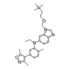 CCN(c1ccc2ncn(COCC[Si](C)(C)C)c2c1)c1cc(-c2c(C)noc2C)ccc1C